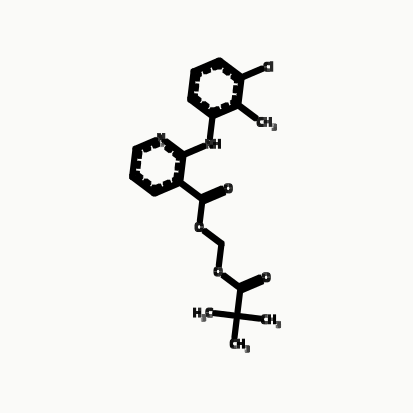 Cc1c(Cl)cccc1Nc1ncccc1C(=O)OCOC(=O)C(C)(C)C